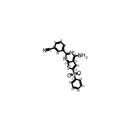 N#Cc1cccc(-c2nc(N)c3cc(S(=O)(=O)c4ccccc4)sc3n2)c1